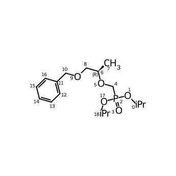 CC(C)OP(=O)(CO[C@H](C)COCc1ccccc1)OC(C)C